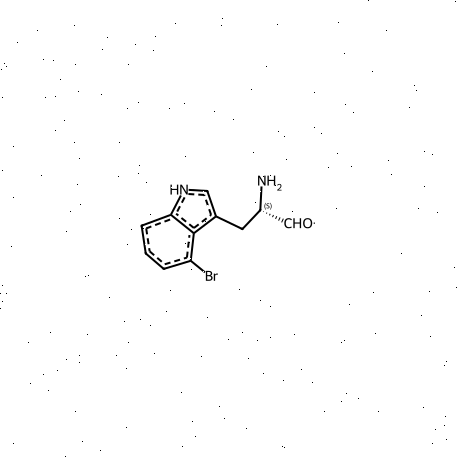 N[C@H]([C]=O)Cc1c[nH]c2cccc(Br)c12